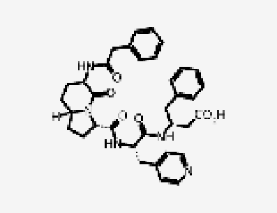 O=C(O)C[C@H](Cc1ccccc1)NC(=O)[C@H](Cc1ccncc1)NC(=O)[C@@H]1CC[C@@H]2CCC(NC(=O)Cc3ccccc3)C(=O)N21